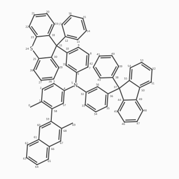 Cc1ccc(N(c2cccc(C3(c4ccccc4)c4ccccc4Sc4ccccc43)c2)c2cccc(C3(c4ccccc4)c4ccccc4-c4ccccc43)c2)cc1-c1cc2ccccc2cc1C